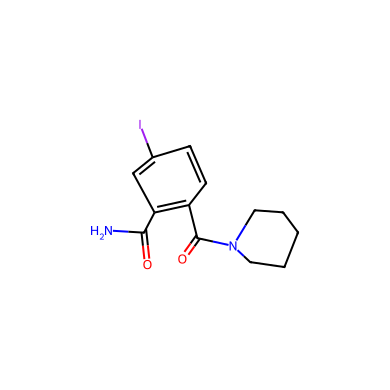 NC(=O)c1cc(I)ccc1C(=O)N1CCCCC1